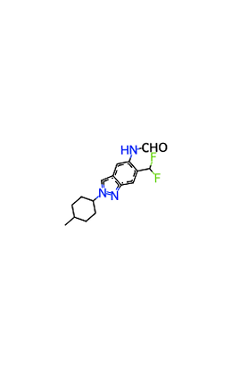 CC1CCC(n2cc3cc(NC=O)c(C(F)F)cc3n2)CC1